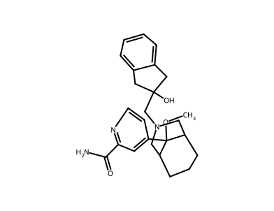 COC1(c2ccnc(C(N)=O)c2)C2CCCC1CN(CC1(O)Cc3ccccc3C1)C2